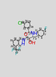 O=C(N[C@@H](Cc1ccc(F)cc1)[C@@H](O)CNCc1cccc(C(F)(F)F)c1)c1cccc(Cl)c1